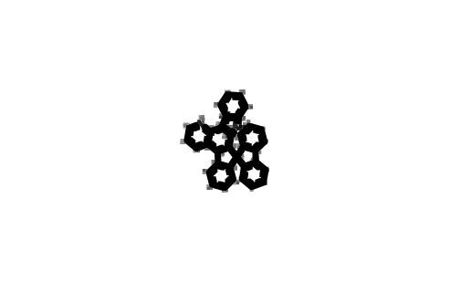 c1ccc2c(c1)-c1ccccc1C21c2ccccc2-c2c1c1[nH]c3ccccc3c1c1ncccc21